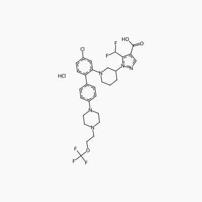 Cl.O=C(O)c1cnn(C2CCCN(c3cc(Cl)ccc3-c3ccc(N4CCN(CCOC(F)(F)F)CC4)cc3)C2)c1C(F)F